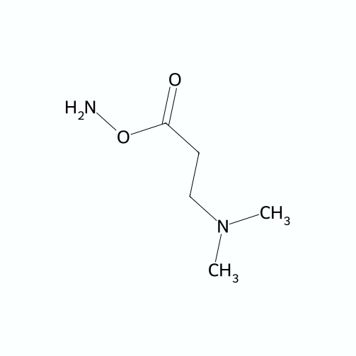 CN(C)CCC(=O)ON